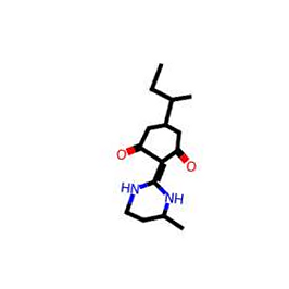 CCC(C)C1CC(=O)C(=C2NCCC(C)N2)C(=O)C1